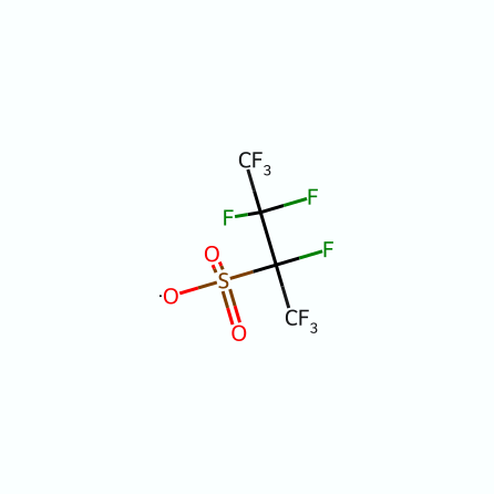 [O]S(=O)(=O)C(F)(C(F)(F)F)C(F)(F)C(F)(F)F